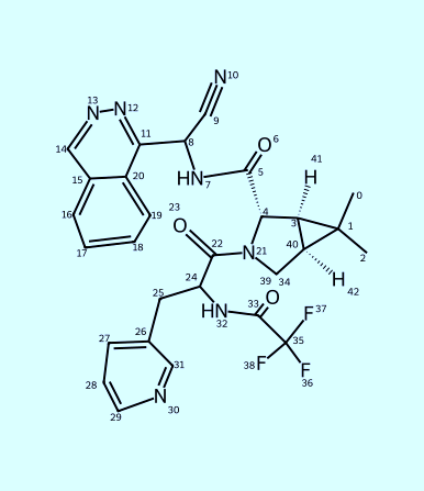 CC1(C)[C@@H]2[C@@H](C(=O)NC(C#N)c3nncc4ccccc34)N(C(=O)C(Cc3cccnc3)NC(=O)C(F)(F)F)C[C@@H]21